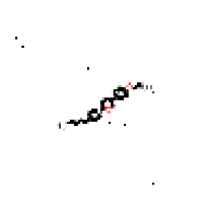 C=CCOc1ccc(C2CCC(c3ccc(CC/C=C/C)cc3)OC2)c(F)c1F